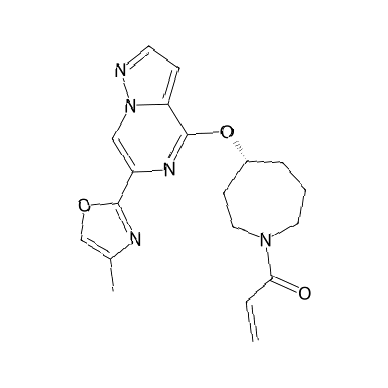 C=CC(=O)N1CCC[C@@H](Oc2nc(-c3nc(C)co3)cn3nccc23)CC1